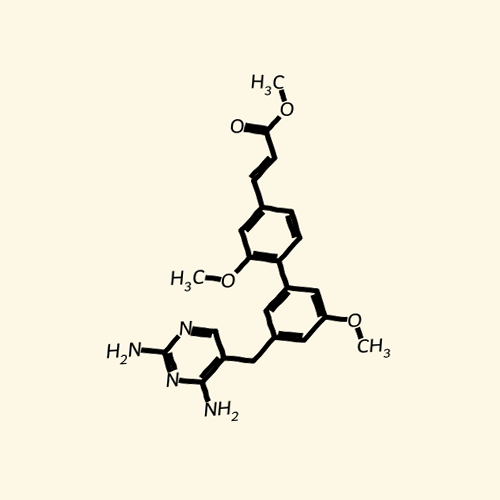 COC(=O)C=Cc1ccc(-c2cc(Cc3cnc(N)nc3N)cc(OC)c2)c(OC)c1